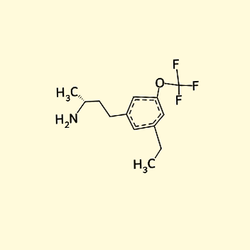 CCc1cc(CC[C@@H](C)N)cc(OC(F)(F)F)c1